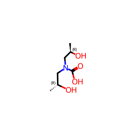 C[C@@H](O)CN(C[C@@H](C)O)C(=O)O